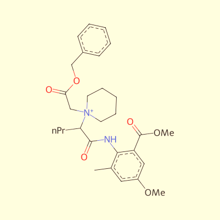 CCCC(C(=O)Nc1c(C)cc(OC)cc1C(=O)OC)[N+]1(CC(=O)OCc2ccccc2)CCCCC1